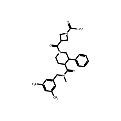 COC(=O)N1CC(C(=O)N2CCC(C(=O)N(C)Cc3cc(C(F)(F)F)cc(C(F)(F)F)c3)C(c3ccccc3)C2)C1